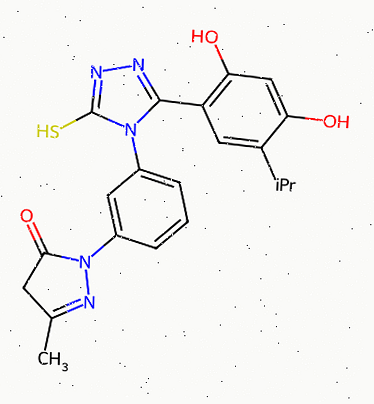 CC1=NN(c2cccc(-n3c(S)nnc3-c3cc(C(C)C)c(O)cc3O)c2)C(=O)C1